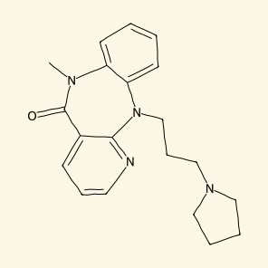 CN1C(=O)c2cccnc2N(CCCN2CCCC2)c2ccccc21